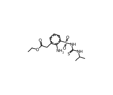 CCOC(=O)Cc1cccc(S(=O)(=O)NC(=S)NC(C)C)c1N